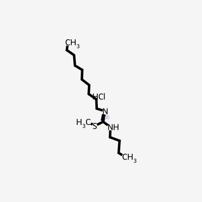 CCCCCCCCCC/N=C(/NCCCC)SC.Cl